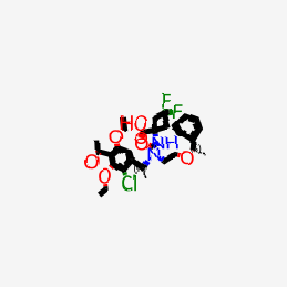 CCOc1cc([C@@H](C)N(CCO[C@@H](C)c2ccccc2)C(=O)NC2(C(=O)O)CC(F)(F)C2)c(Cl)c(OCC)c1C(C)=O